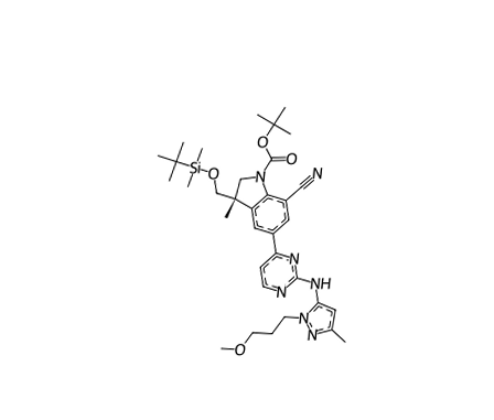 COCCCn1nc(C)cc1Nc1nccc(-c2cc(C#N)c3c(c2)[C@](C)(CO[Si](C)(C)C(C)(C)C)CN3C(=O)OC(C)(C)C)n1